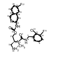 CN(C(=O)NCc1cccc(F)c1Cl)[C@@H](CN)COC(=O)Nc1cc2cc(F)ccc2cn1